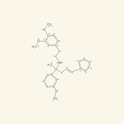 COc1cccc(C(C)(CC=Cc2ccccc2)NCCc2ccc(OC)c(OC)c2)c1